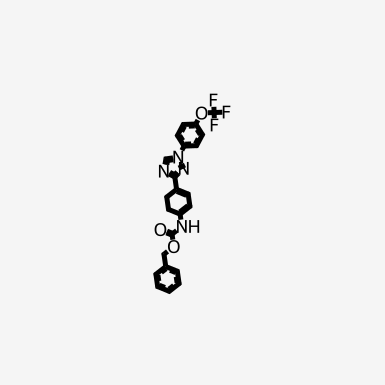 O=C(NC1=CC=C(c2ncn(-c3ccc(OC(F)(F)F)cc3)n2)CC1)OCc1ccccc1